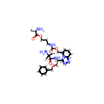 C[C@@H](N)C(=O)OCCCNC(=O)OCc1cccc2nnc([C@@H](COCc3ccccc3)NC(=O)C(C)(C)N)n12